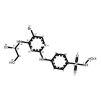 CCCCCCCCNS(=O)(=O)c1ccc(Nc2ncc(Br)c(N[C@H](CC)CO)n2)cc1